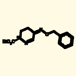 CCOC(=O)[C@@H]1CCC(=NOCc2ccccc2)C=N1